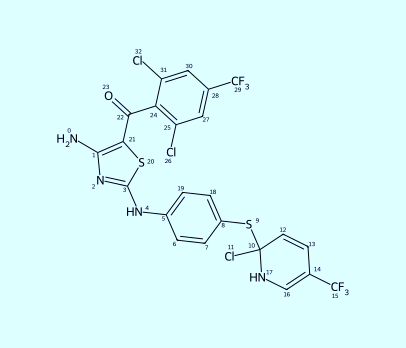 Nc1nc(Nc2ccc(SC3(Cl)C=CC(C(F)(F)F)=CN3)cc2)sc1C(=O)c1c(Cl)cc(C(F)(F)F)cc1Cl